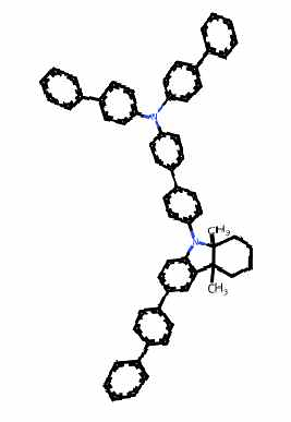 CC12CCCCC1(C)N(c1ccc(-c3ccc(N(c4ccc(-c5ccccc5)cc4)c4ccc(-c5ccccc5)cc4)cc3)cc1)c1ccc(-c3ccc(-c4ccccc4)cc3)cc12